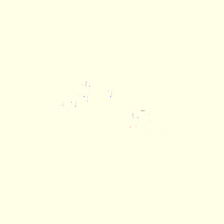 COc1ccc2c(c1)OC=CN(CCCCN1CCC(c3ncc(F)c(N)n3)CC1)C2=O